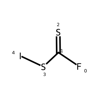 FC(=S)SI